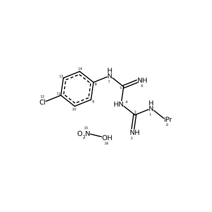 CC(C)NC(=N)NC(=N)Nc1ccc(Cl)cc1.O=[N+]([O-])O